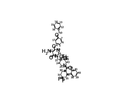 Nc1c(Oc2cccc(OCc3ccccc3)c2)ncn(CC2(O)CCN(C(=O)[C@@H]3CCC(F)(F)C[C@H]3c3ccccc3)CC2(F)F)c1=O